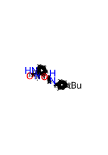 CC(C)(C)c1ccc(CNCCOc2cccc3c2[N]C(=O)N3)cc1